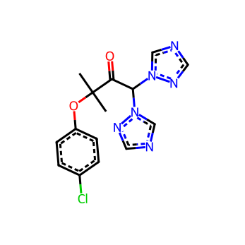 CC(C)(Oc1ccc(Cl)cc1)C(=O)C(n1cncn1)n1cncn1